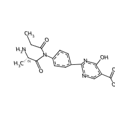 CCC(=O)N(C(=O)[C@H](C)N)c1ccc(-c2ncc(C(=O)O)c(O)n2)cc1